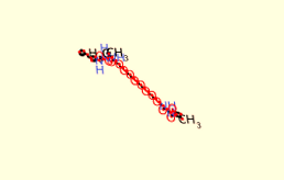 CC1=CC2CC1C1C(=O)N(CCC(=O)NCCOCCOCCOCCOCCOCCOCCOCCOCCC(=O)NC(C(=O)NCC(=O)Nc3ccc(CCc4ccccc4)cc3)C(C)C)C(=O)C21